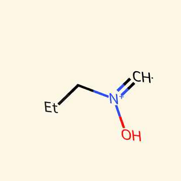 [CH]=[N+](O)CCC